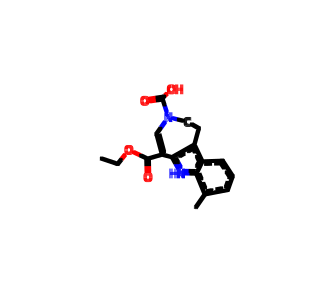 CCOC(=O)C1=CN(C(=O)O)CCc2c1[nH]c1c(C)cccc21